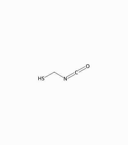 O=C=NCS